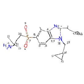 CC(C)(C)Cc1nc2cc(S(=O)(=O)CC(C)(C)N)ccc2n1CC1CC1